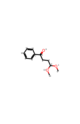 COC(CCC(=O)c1ccccc1)OC